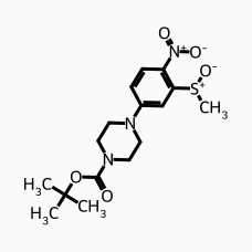 C[S+]([O-])c1cc(N2CCN(C(=O)OC(C)(C)C)CC2)ccc1[N+](=O)[O-]